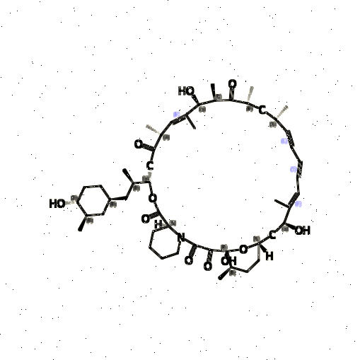 C/C1=C\[C@@H](C)C(=O)C[C@@H]([C@H](C)C[C@@H]2CC[C@@H](O)[C@H](C)C2)OC(=O)[C@@H]2CCCCN2C(=O)C(=O)[C@]2(O)O[C@@H](CC[C@H]2C)C[C@H](O)/C(C)=C/C=C/C=C/[C@@H](C)C[C@@H](C)C(=O)[C@H](C)[C@@H]1O